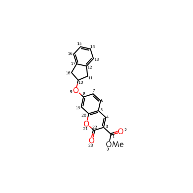 COC(=O)c1cc2ccc(OC3Cc4ccccc4C3)cc2oc1=O